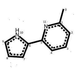 Cc1cccc(-c2ccc[nH]2)n1